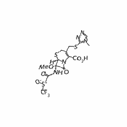 CO[C@@]1(NC(=O)C[S+]([O-])C(F)(F)F)C(=O)N2C(C(=O)O)=C(CSc3nncn3C)CS[C@H]21